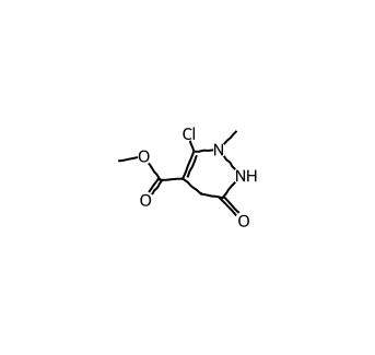 COC(=O)C1=C(Cl)N(C)NC(=O)C1